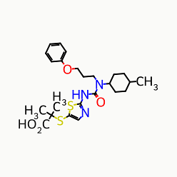 CC1CCC(N(CCCOc2ccccc2)C(=O)Nc2ncc(SC(C)(C)C(=O)O)s2)CC1